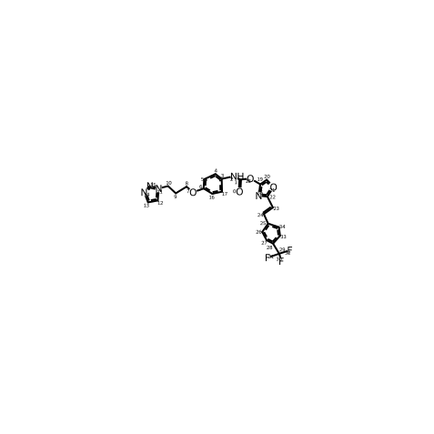 O=C(Nc1ccc(OCCCn2ccnn2)cc1)Oc1coc(C=Cc2ccc(C(F)(F)F)cc2)n1